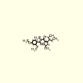 CCc1cc(OC)ccc1C1=NN2C(=C(C(CC)CC)CC2C)C(=O)N1C